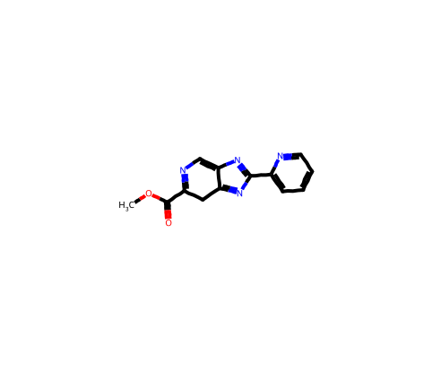 COC(=O)C1=NC=C2N=C(c3ccccn3)N=C2C1